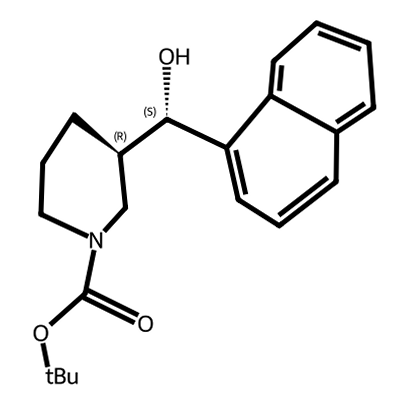 CC(C)(C)OC(=O)N1CCC[C@@H]([C@H](O)c2cccc3ccccc23)C1